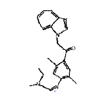 CCN(C)/C=N\c1cc(C)c(C(=O)Cn2cnc3ccccc32)cc1C